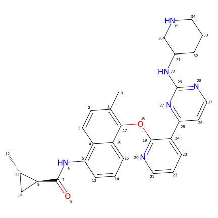 Cc1ccc2c(NC(=O)[C@H]3C[C@@H]3C)cccc2c1Oc1ncccc1-c1ccnc(NC2CCCNC2)n1